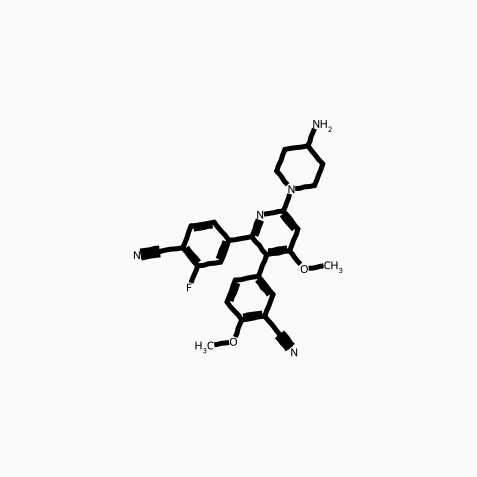 COc1ccc(-c2c(OC)cc(N3CCC(N)CC3)nc2-c2ccc(C#N)c(F)c2)cc1C#N